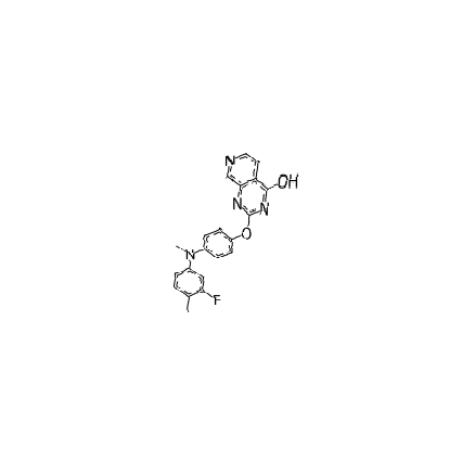 Cc1ccc(N(C)c2ccc(Oc3nc(O)c4ccncc4n3)cc2)cc1F